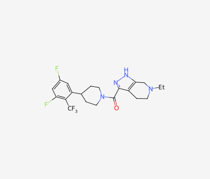 CCN1CCc2c(C(=O)N3CCC(c4cc(F)cc(F)c4C(F)(F)F)CC3)n[nH]c2C1